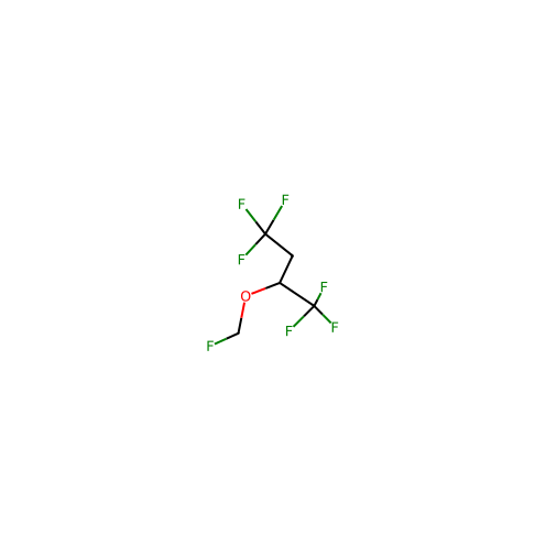 FCOC(CC(F)(F)F)C(F)(F)F